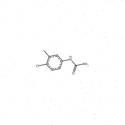 Cc1cc(NC(N)=O)ccc1Cl